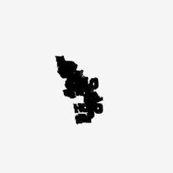 C=C(C)c1cc(-c2ccc(F)cc2)nn2cc(C(=O)N3CCN(C(=O)[C@H](O)CC(C)(C)C)[C@@H](C)C3)nc12